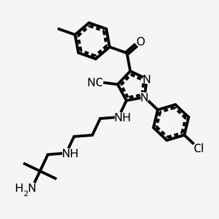 Cc1ccc(C(=O)c2nn(-c3ccc(Cl)cc3)c(NCCCNCC(C)(C)N)c2C#N)cc1